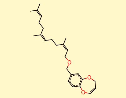 CC(C)=CCCC(C)=CCCC(C)=CCOCc1ccc2c(c1)OCC=CO2